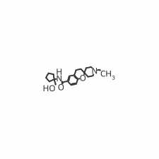 CCN1CCC2(CCc3cc(C(=O)NC4(CO)CCCC4)ccc3O2)CC1